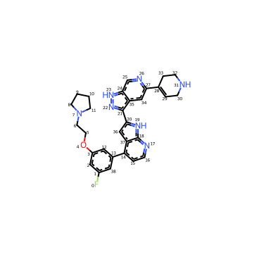 Fc1cc(OCCN2CCCC2)cc(-c2ccnc3[nH]c(-c4n[nH]c5cnc(C6=CCNCC6)cc45)cc23)c1